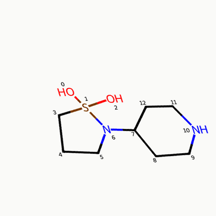 OS1(O)CCCN1C1CCNCC1